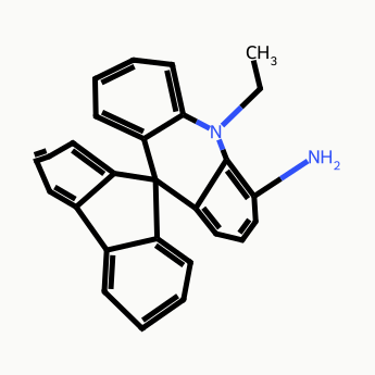 CCN1c2ccccc2C2(c3ccccc3-c3ccccc32)c2cccc(N)c21